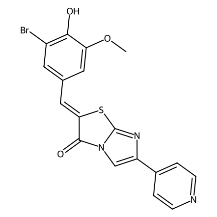 COc1cc(/C=c2\sc3nc(-c4ccncc4)cn3c2=O)cc(Br)c1O